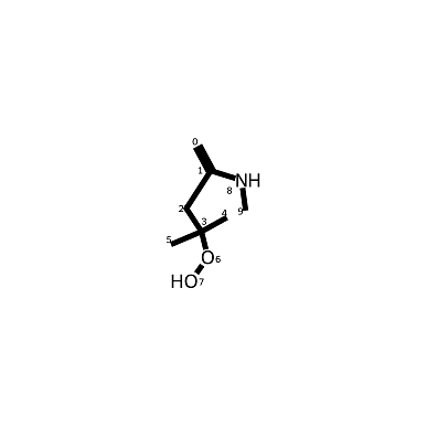 C=C(CC(C)(C)OO)NC